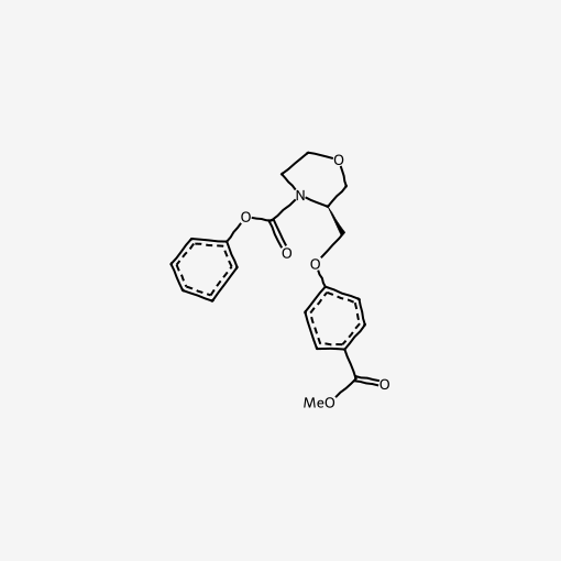 COC(=O)c1ccc(OC[C@@H]2COCCN2C(=O)Oc2ccccc2)cc1